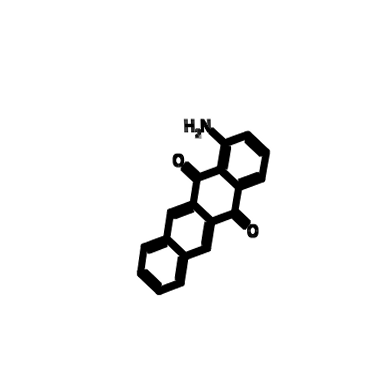 Nc1cccc2c1C(=O)c1cc3ccccc3cc1C2=O